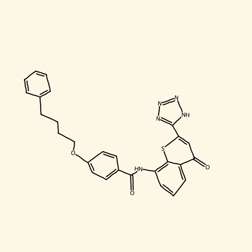 O=C(Nc1cccc2c(=O)cc(-c3nnn[nH]3)sc12)c1ccc(OCCCCc2ccccc2)cc1